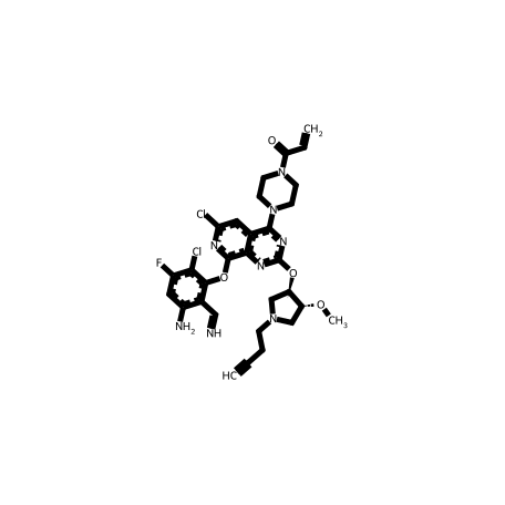 C#CCCN1C[C@@H](OC)[C@H](Oc2nc(N3CCN(C(=O)C=C)CC3)c3cc(Cl)nc(Oc4c(Cl)c(F)cc(N)c4C=N)c3n2)C1